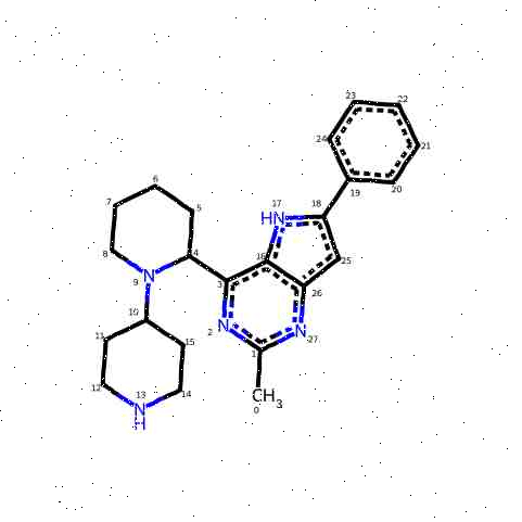 Cc1nc(C2CCCCN2C2CCNCC2)c2[nH]c(-c3ccccc3)cc2n1